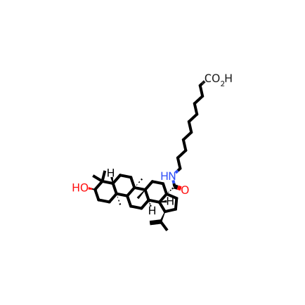 C=C(C)[C@@H]1CC[C@]2(C(=O)NCCCCCCCCCCC(=O)O)CC[C@]3(C)[C@H](CCC4[C@@]5(C)CC[C@@H](O)C(C)(C)[C@@H]5CC[C@]43C)[C@@H]12